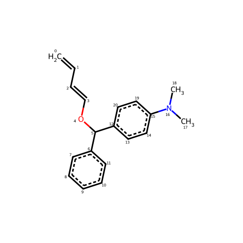 C=CC=COC(c1ccccc1)c1ccc(N(C)C)cc1